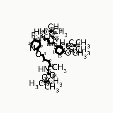 C[C@@H](CCCOc1cc(Nc2cc([C@H]3CC[C@@H](O[Si](C)(C)C(C)(C)C)C3)nn2C(C)(C)C)c(F)cn1)NC(=O)OC(C)(C)C